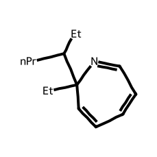 CCCC(CC)C1(CC)C=CC=CC=N1